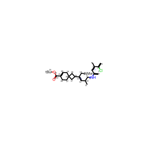 C=C(/C=C(/C)C(=C)Cl)NCC(C)/C=C(\CNC)C1CC2(CC=C(C(=O)OC(C)(C)C)CC2)C1